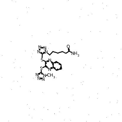 Cn1nnnc1Sc1nc2ccccc2nc1Sc1nnnn1CCCCCC(N)=O